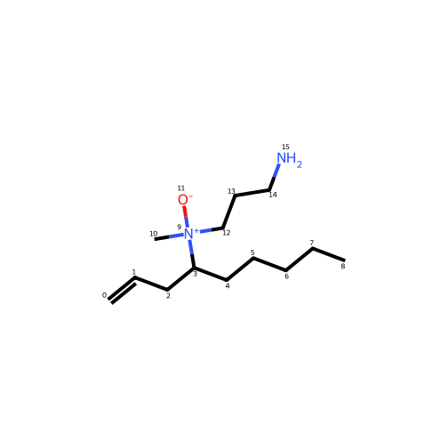 C=CCC(CCCCC)[N+](C)([O-])CCCN